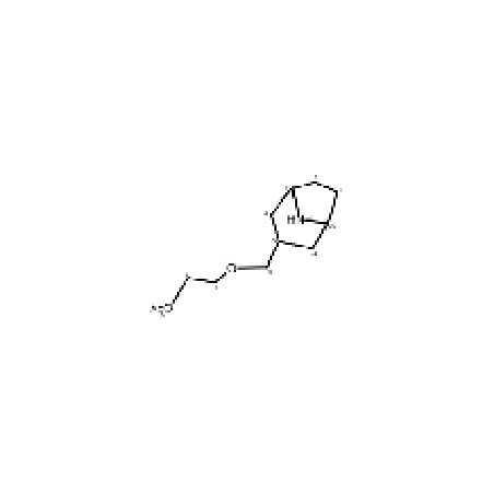 CC(=O)OCCOCC1CC2CCC(C1)N2